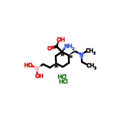 CCN(C)C[C@@H]1CC[C@@H](CCB(O)O)C[C@]1(N)C(=O)O.Cl.Cl